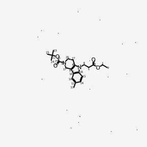 CCOC(=O)CCn1c2c(c3cc(C)ccc31)CN(C(=O)OC(C)(C)C)CC2